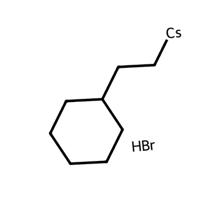 Br.[Cs][CH2]CC1CCCCC1